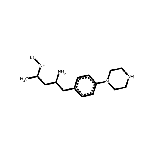 CCNC(C)CC(N)Cc1ccc(N2CCNCC2)cc1